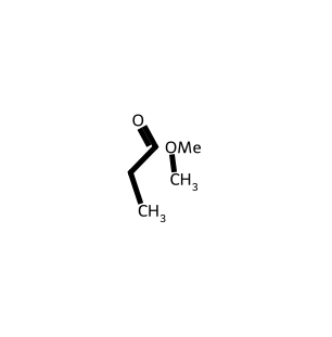 CCC=O.COC